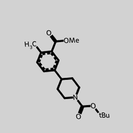 COC(=O)c1cc(C2CCN(C(=O)OC(C)(C)C)CC2)ccc1C